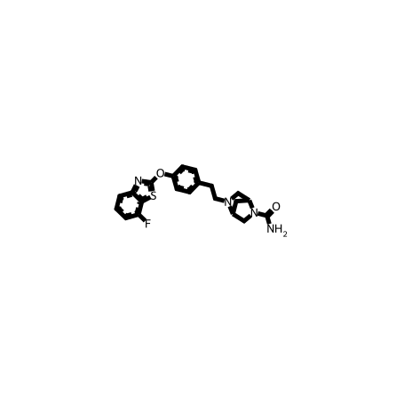 NC(=O)N1CC2CC1CN2CCc1ccc(Oc2nc3cccc(F)c3s2)cc1